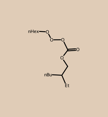 CCCCCCOOOC(=O)OCC(CC)CCCC